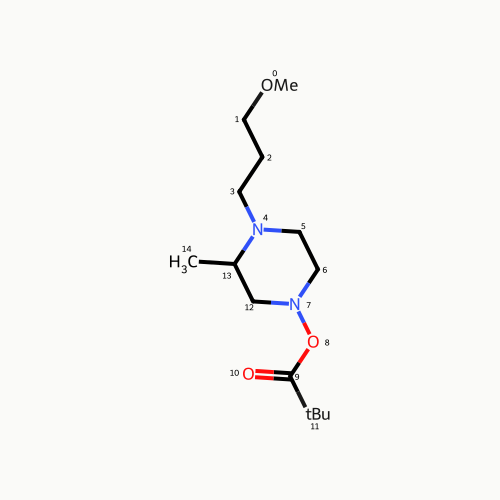 COCCCN1CCN(OC(=O)C(C)(C)C)CC1C